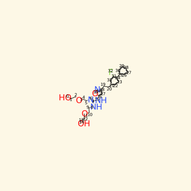 OCCOCCN=C(NCCOCCO)Nc1cc(CCc2ccc(-c3ccccc3)c(F)c2)no1